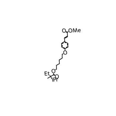 CCC(C)(C(=O)OCCCCCCOc1ccc(/C=C/C(=O)OC)cc1)C(C)C